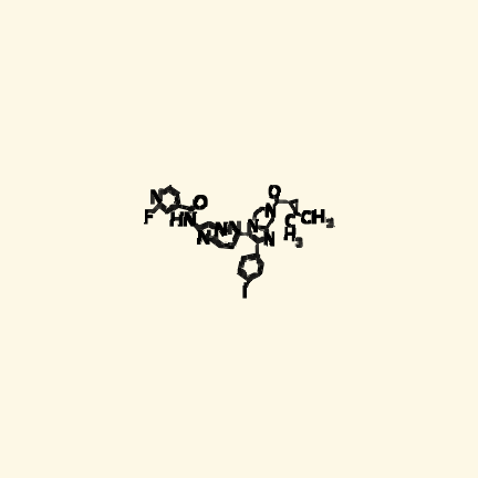 CC1(C)CC1C(=O)N1CCn2c(nc(-c3ccc(I)cc3)c2-c2ccc3nc(NC(=O)c4ccnc(F)c4)cn3n2)C1